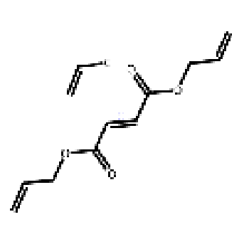 C=CCOC(=O)/C=C/C(=O)OCC=C.C=CCl